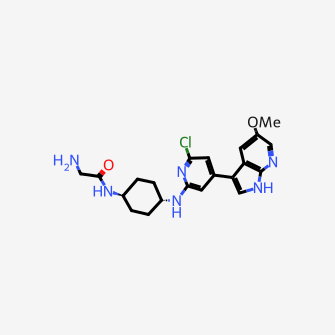 COc1cnc2[nH]cc(-c3cc(Cl)nc(N[C@H]4CC[C@H](NC(=O)CN)CC4)c3)c2c1